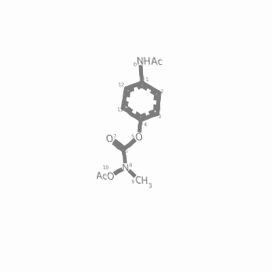 CC(=O)Nc1ccc(OC(=O)N(C)OC(C)=O)cc1